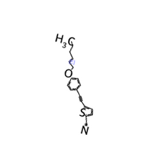 CCC/C=C/COc1ccc(C#Cc2ccc(C#N)s2)cc1